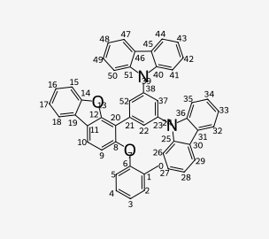 Cc1ccccc1Oc1ccc2c(oc3ccccc32)c1-c1cc(-n2c3ccccc3c3ccccc32)cc(-n2c3ccccc3c3ccccc32)c1